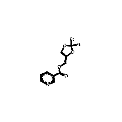 CCC1(CC)OCC(COC(=O)c2cccnc2)O1